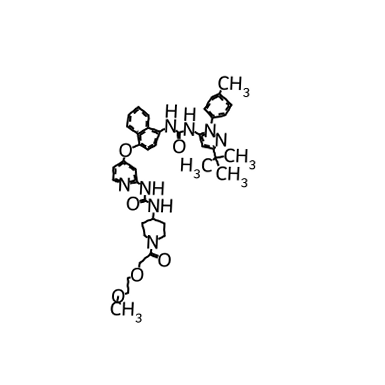 COCCOCC(=O)N1CCC(NC(=O)Nc2cc(Oc3ccc(NC(=O)Nc4cc(C(C)(C)C)nn4-c4ccc(C)cc4)c4ccccc34)ccn2)CC1